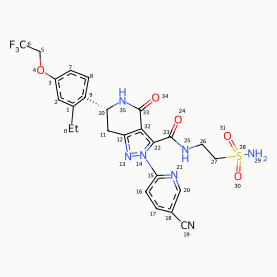 CCc1cc(OCC(F)(F)F)ccc1[C@H]1Cc2nn(-c3ccc(C#N)cn3)c(C(=O)NCCS(N)(=O)=O)c2C(=O)N1